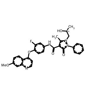 COc1ccc2c(Oc3ccc(NC(=O)c4c(C)n(C[C@H](C)O)n(-c5ccccc5)c4=O)cc3F)ccnc2c1